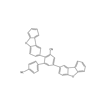 N#Cc1ccc(-c2cc(-c3ccc4oc5ccccc5c4c3)cc(C#N)c2-c2ccc3oc4ccccc4c3c2)cc1